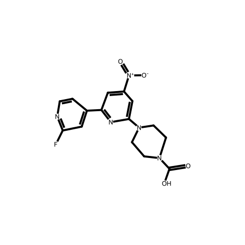 O=C(O)N1CCN(c2cc([N+](=O)[O-])cc(-c3ccnc(F)c3)n2)CC1